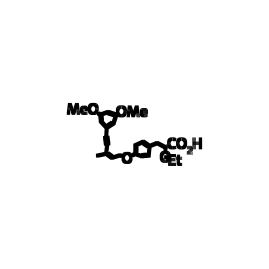 CCO[C@@H](Cc1ccc(OCC=C(C)C#Cc2cc(OC)cc(OC)c2)cc1)C(=O)O